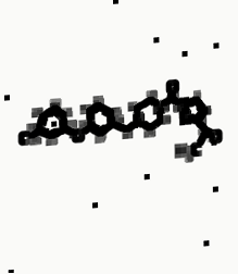 CC(=O)c1ccn(C(=O)N2CCN(Cc3cccc(Oc4cccc(Cl)c4)c3)CC2)n1